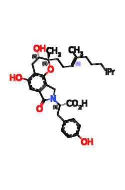 C/C(=C\CC[C@]1(C)Oc2c(c(O)cc3c2CN([C@@H](Cc2ccc(O)cc2)C(=O)O)C3=O)C[C@@H]1O)CCCC(C)C